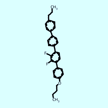 CCCCOc1ccc(-c2ccc(-c3ccc(-c4ccc(CCC)cc4)cc3)c(F)c2F)cc1